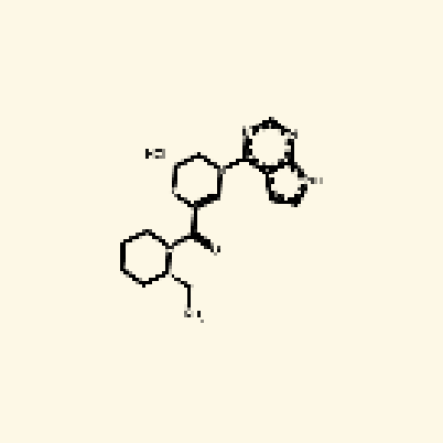 Cl.NC[C@H]1CCCCN1C(=O)C1=CN(c2ncnc3[nH]ccc23)CCS1